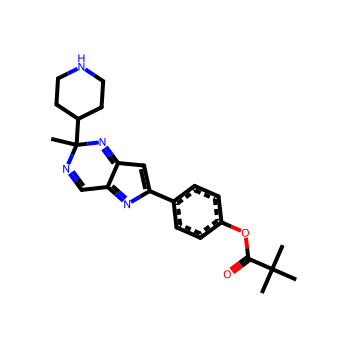 CC(C)(C)C(=O)Oc1ccc(C2=CC3=NC(C)(C4CCNCC4)N=CC3=N2)cc1